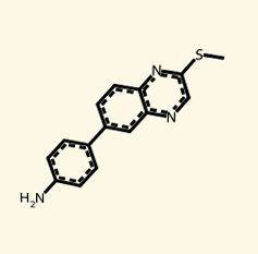 CSc1cnc2cc(-c3ccc(N)cc3)ccc2n1